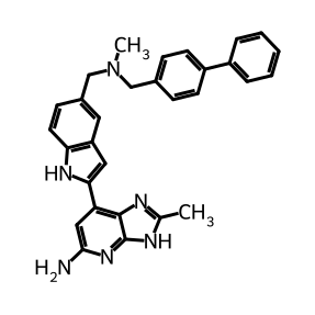 Cc1nc2c(-c3cc4cc(CN(C)Cc5ccc(-c6ccccc6)cc5)ccc4[nH]3)cc(N)nc2[nH]1